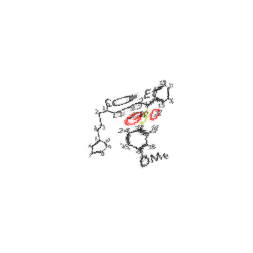 CCOC(=O)C(CCCc1ccccc1)CCC(c1ccccc1)S(=O)(=O)c1ccc(OC)cc1